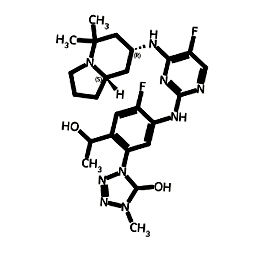 CC(O)c1cc(F)c(Nc2ncc(F)c(N[C@@H]3C[C@@H]4CCCN4C(C)(C)C3)n2)cc1N1N=NN(C)C1O